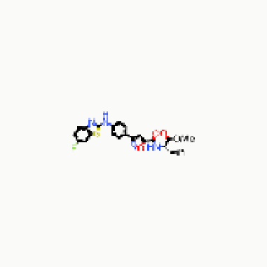 COC(=O)[C@H](CC(C)C)NC(=O)c1cc(-c2ccc(Nc3nc4ccc(F)cc4s3)cc2)no1